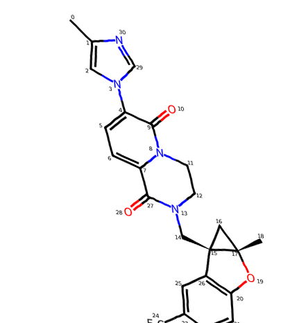 Cc1cn(-c2ccc3n(c2=O)CCN(C[C@@]24C[C@]2(C)Oc2ccc(C(F)(F)F)cc24)C3=O)cn1